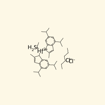 CCCCCC.C[SiH2][Hf+2]([CH]1C(C)=Cc2c(C(C)C)cc(C(C)C)cc21)[CH]1C(C)=Cc2c(C(C)C)cc(C(C)C)cc21.[Cl-].[Cl-]